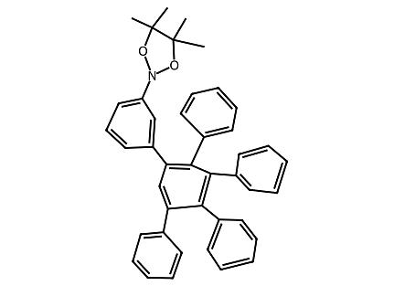 CC1(C)ON(c2cccc(-c3cc(-c4ccccc4)c(-c4ccccc4)c(-c4ccccc4)c3-c3ccccc3)c2)OC1(C)C